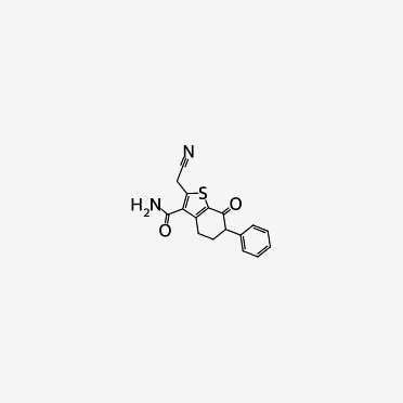 N#CCc1sc2c(c1C(N)=O)CCC(c1ccccc1)C2=O